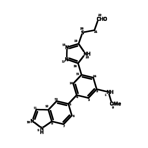 CONc1cc(-c2ccc3[nH]ncc3c2)cc(-c2nnc(SCC=O)[nH]2)c1